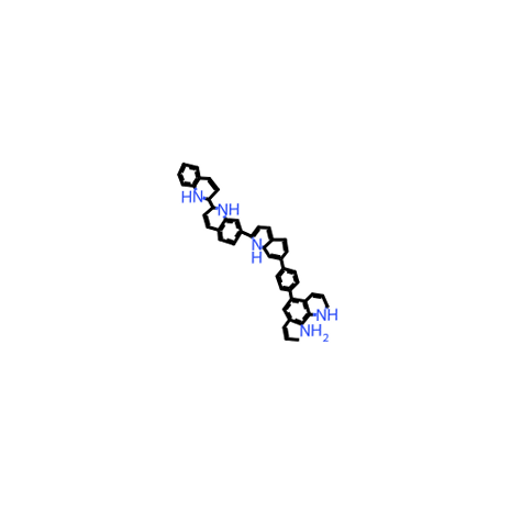 C/C=C\c1cc(-c2ccc(C3=CC4NC(c5ccc6c(c5)NC(C5C=Cc7ccccc7N5)C=C6)=CC=C4C=C3)cc2)c2c(c1N)NCC=C2